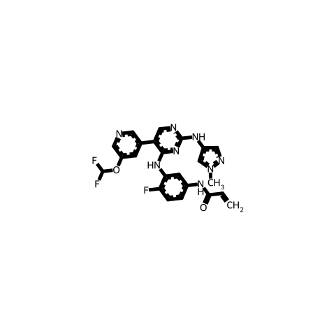 C=CC(=O)Nc1ccc(F)c(Nc2nc(Nc3cnn(C)c3)ncc2-c2cncc(OC(F)F)c2)c1